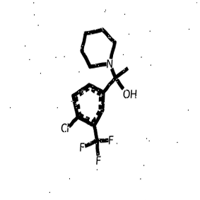 CC(O)(c1ccc(Cl)c(C(F)(F)F)c1)N1CCCCC1